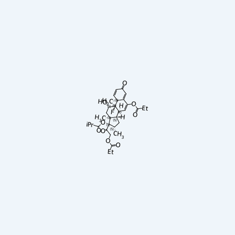 CCC(=O)OCC(=O)[C@]1(OC(=O)C(C)C)[C@@H](C)C[C@H]2[C@@H]3C=C(OC(=O)CC)C4=CC(=O)C=C[C@]4(C)[C@@]3(F)[C@@H](O)C[C@@]21C